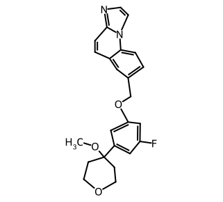 COC1(c2cc(F)cc(OCc3ccc4c(ccc5nccn54)c3)c2)CCOCC1